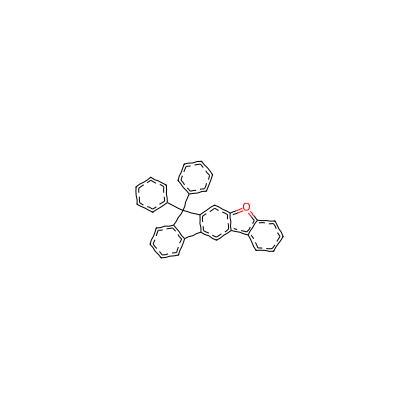 c1ccc(C2(c3ccccc3)c3ccccc3-c3cc4c(cc32)oc2ccccc24)cc1